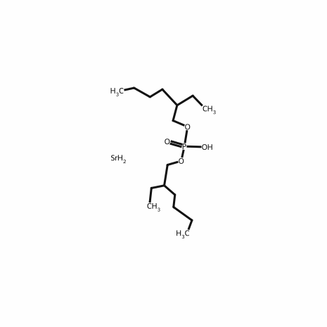 CCCCC(CC)COP(=O)(O)OCC(CC)CCCC.[SrH2]